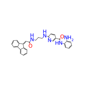 Nc1ccccc1NC(=O)c1ccc(NCCCNC(=O)C=C2c3ccccc3-c3ccccc32)nc1